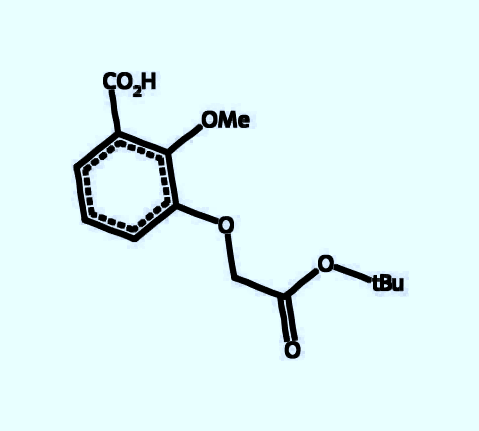 COc1c(OCC(=O)OC(C)(C)C)cccc1C(=O)O